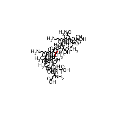 CC(C)C[C@H](NC(=O)[C@H](CCC(N)=O)NC(=O)[C@H](CCCCN)NC(=O)[C@H](CCC(=O)O)NC(=O)[C@H](CCCNC(=N)N)NC(=O)[C@@H](NC(=O)[C@H](CCCCN)NC(=O)[C@@H](NC(=O)[C@H](CC(C)C)NC(=O)[C@H](CCC(=O)O)NC(=O)[C@H](CCC(=O)O)NC(=O)[C@@H](N)CCC(=O)O)C(C)C)C(C)C)C(=O)N[C@@H](C)C(=O)O